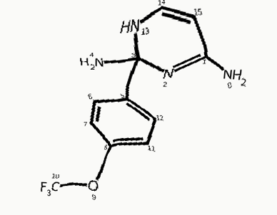 NC1=NC(N)(c2ccc(OC(F)(F)F)cc2)NC=C1